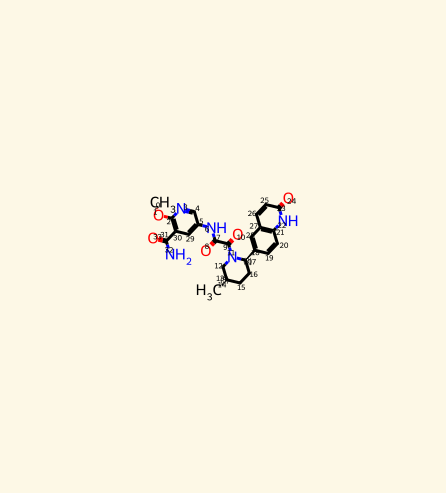 COc1ncc(NC(=O)C(=O)N2C[C@@H](C)CC[C@@H]2c2ccc3[nH]c(=O)ccc3c2)cc1C(N)=O